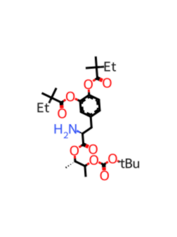 CCC(C)(C)C(=O)Oc1ccc(C[C@H](N)C(=O)O[C@@H](C)C(C)OC(=O)OC(C)(C)C)cc1OC(=O)C(C)(C)CC